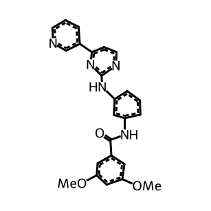 COc1cc(OC)cc(C(=O)Nc2cccc(Nc3nccc(-c4cccnc4)n3)c2)c1